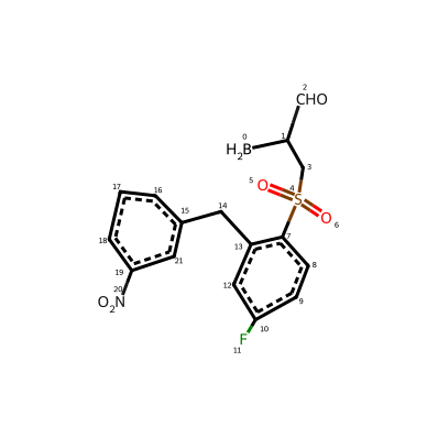 BC(C=O)CS(=O)(=O)c1ccc(F)cc1Cc1cccc([N+](=O)[O-])c1